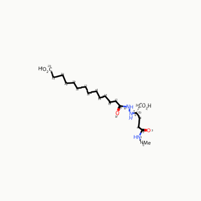 CNNC(=O)CC[C@H](NNC(=O)CCCCCCCCCCCCC(=O)O)C(=O)O